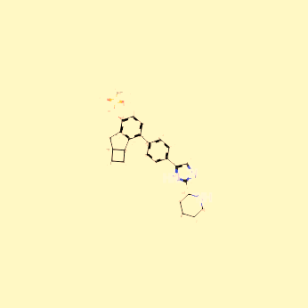 O=S(=O)(Oc1ccc(-c2ccc(-c3cnc([C@@H]4CCCCN4)[nH]3)cc2)c2c1CC1CCC21)C(F)(F)F